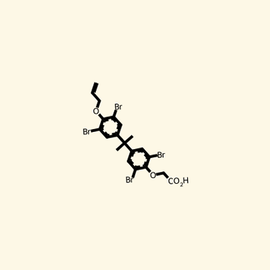 C=CCOc1c(Br)cc(C(C)(C)c2cc(Br)c(OCC(=O)O)c(Br)c2)cc1Br